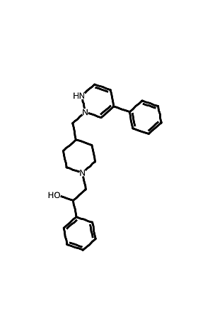 OC(CN1CCC(CN2C=C(c3ccccc3)C=CN2)CC1)c1ccccc1